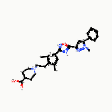 Cc1cc(-c2noc(-c3cc(-c4ccccc4)n(C)n3)n2)cc(C)c1CCN1CCC(C(=O)O)CC1